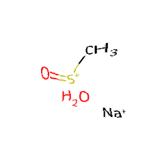 C[S+]=O.O.[Na+]